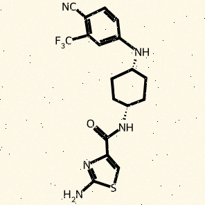 N#Cc1ccc(N[C@H]2CC[C@@H](NC(=O)c3csc(N)n3)CC2)cc1C(F)(F)F